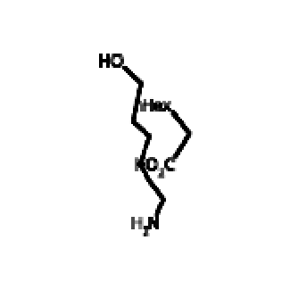 CCCCCCCC(=O)O.NCCCCCO